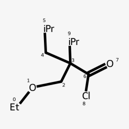 CCOCC(CC(C)C)(C(=O)Cl)C(C)C